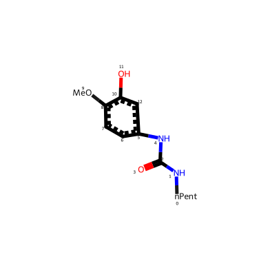 CCCCCNC(=O)Nc1ccc(OC)c(O)c1